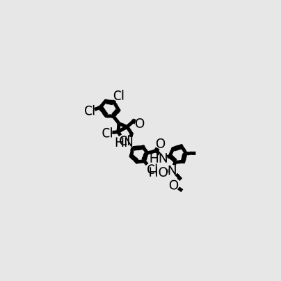 COCN(O)c1cc(C)ccc1NC(=O)c1cc(NCC2(C=O)C(c3cc(Cl)cc(Cl)c3)C2(Cl)Cl)ccc1Cl